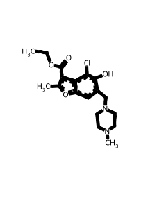 CCOC(=O)c1c(C)oc2cc(CN3CCN(C)CC3)c(O)c(Cl)c12